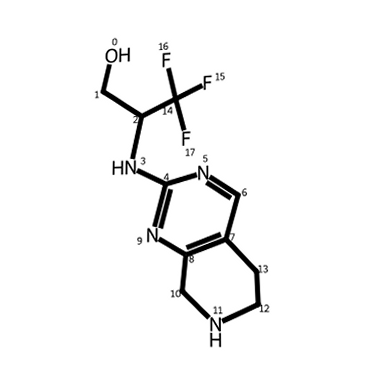 OCC(Nc1ncc2c(n1)CNCC2)C(F)(F)F